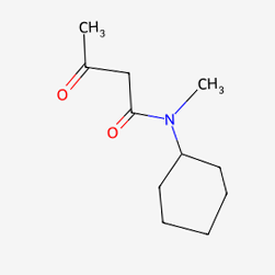 CC(=O)CC(=O)N(C)C1CCCCC1